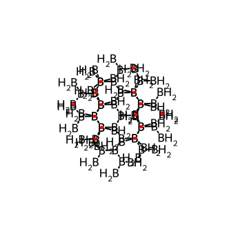 BB(B)B(B)B(B(B)B)B(B(B(B(B)B)B(B)B)B(B(B)B)B(B)B)B(B(B(B(B)B)B(B)B)B(B(B)B)B(B)B)B(B(B(B(B)B)B(B)B)B(B(B)B)B(B)B)B(B(B(B)B)B(B)B)B(B(B)B)B(B)B